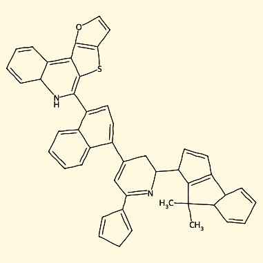 CC1(C)C2=C(C=CC2C2CC(c3ccc(C4=c5sc6ccoc6c5=C5C=CC=CC5N4)c4ccccc34)=CC(C3=CCC=C3)=N2)C2C=CC=CC21